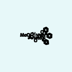 COC(=O)C(C)CNC(=O)c1ncc(C(=O)NC(c2ccccc2)c2ccccc2)c(OCc2ccccc2)n1